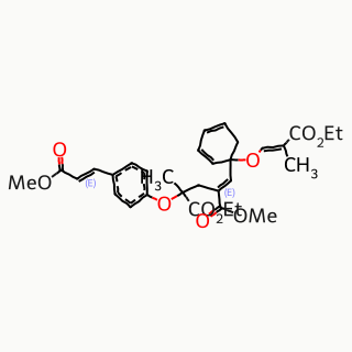 CCOC(=O)C(C)=COC1(/C=C(\CC(C)(Oc2ccc(/C=C/C(=O)OC)cc2)C(=O)OCC)C(=O)OC)C=CC=CC1